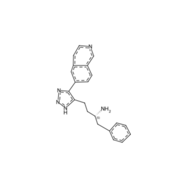 N[C@@H](CCc1[nH]nnc1-c1ccc2cnccc2c1)Cc1ccccc1